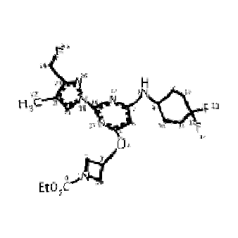 CCOC(=O)N1CC(Oc2cc(NC3CCC(F)(F)CC3)nc(-n3cc(C)c(CF)n3)n2)C1